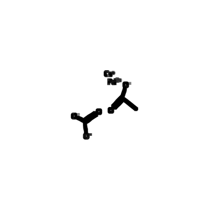 CC(=O)[O-].O=C([O-])[O-].[Cs+].[Pd+2]